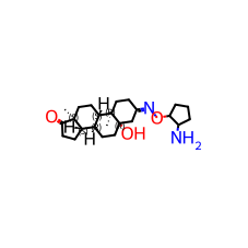 C[C@]12CC[C@H]3[C@@H](CC[C@@]4(O)CC(=NOC5CCCC5N)CC[C@]34C)[C@@H]1CCC2=O